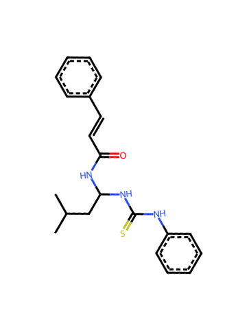 CC(C)CC(NC(=O)/C=C/c1ccccc1)NC(=S)Nc1ccccc1